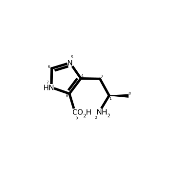 C[C@@H](N)Cc1nc[nH]c1C(=O)O